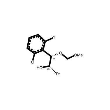 CC[C@H](O)[C@@H](OCOC)c1c(Cl)cccc1Cl